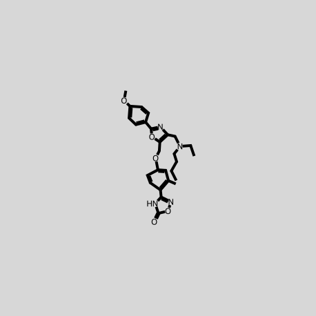 CCCCN(CC)Cc1nc(-c2ccc(OC)cc2)oc1COc1ccc(-c2noc(=O)[nH]2)c(C)c1